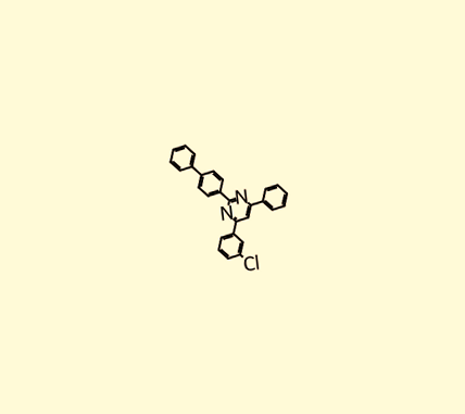 Clc1cccc(-c2cc(-c3ccccc3)nc(-c3ccc(-c4ccccc4)cc3)n2)c1